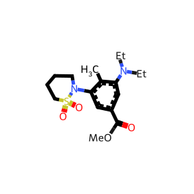 CCN(CC)c1cc(C(=O)OC)cc(N2CCCCS2(=O)=O)c1C